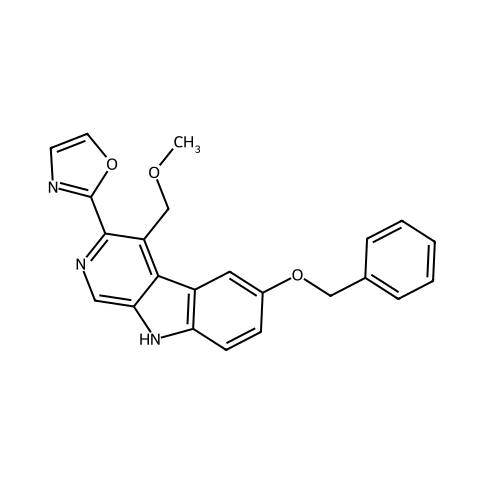 COCc1c(-c2ncco2)ncc2[nH]c3ccc(OCc4ccccc4)cc3c12